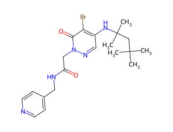 CC(C)(C)CC(C)(C)Nc1cnn(CC(=O)NCc2ccncc2)c(=O)c1Br